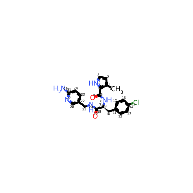 Cc1cc[nH]c1C(=O)N[C@@H](Cc1ccc(Cl)cc1)C(=O)NCc1ccc(N)nc1